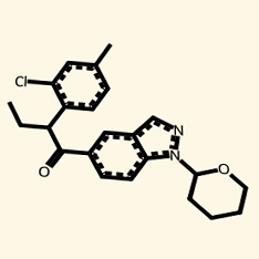 CCC(C(=O)c1ccc2c(cnn2C2CCCCO2)c1)c1ccc(C)cc1Cl